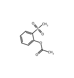 CC(=O)Oc1ccccc1S(C)(=O)=O